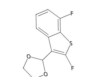 Fc1sc2c(F)cccc2c1C1OCCO1